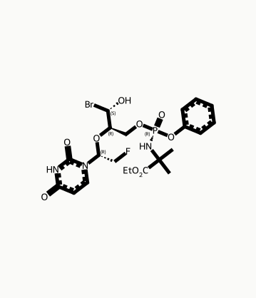 CCOC(=O)C(C)(C)N[P@@](=O)(OC[C@@H](O[C@H](CF)n1ccc(=O)[nH]c1=O)[C@@H](O)Br)Oc1ccccc1